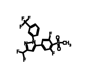 CS(=O)(=O)c1c(F)cc(-c2cc(C(F)F)nn2-c2cccc(C(F)(F)F)c2)cc1F